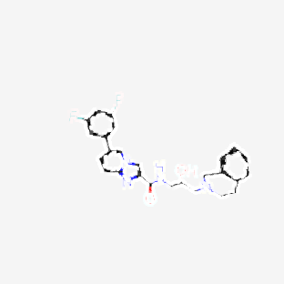 O=C(NC[C@H](O)CN1CCc2ccccc2C1)c1cn2cc(-c3cc(F)cc(F)c3)ccc2n1